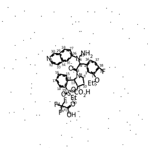 CCOc1cc([C@@H](C(=O)N2CCC(C(=O)O)C2c2ccccc2S(=O)(=O)CC)N(N)c2ccc3cnccc3c2)ccc1F.O=C(O)C(F)(F)F